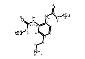 CC(C)(C)OC(=O)Nc1ccc(CCN)cc1NC(=O)OC(C)(C)C